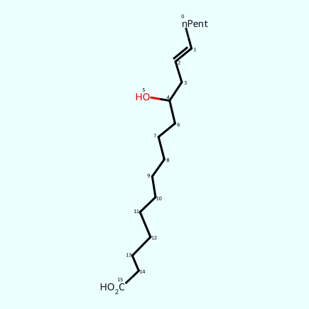 CCCCCC=CCC(O)CCCCCCCCCC(=O)O